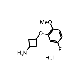 COc1ccc(F)cc1OC1CC(N)C1.Cl